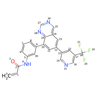 C=CC(=O)Nc1cccc(-c2cc(-c3cncc(C(F)(F)F)c3)cc3cncnc23)c1